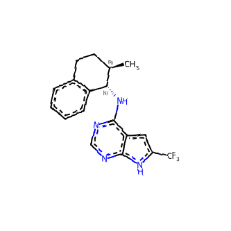 C[C@@H]1CCc2ccccc2[C@H]1Nc1ncnc2[nH]c(C(F)(F)F)cc12